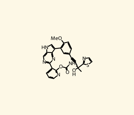 COc1ccc(C#CC(C)(O)c2nccs2)cc1-c1c[nH]c2cnc(-c3cccnc3OC(N)=O)nc12